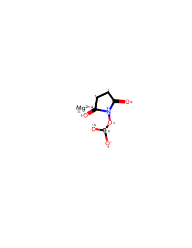 O=C1CCC(=O)N1OB([O-])[O-].[Mg+2]